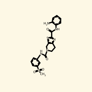 CS(=O)(=O)c1cccc(NC(=O)N2CCc3nc(C(=O)Nc4ccccc4N)sc3C2)c1